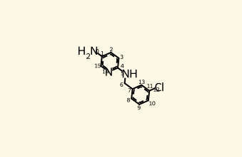 Nc1ccc(NCc2cccc(Cl)c2)nc1